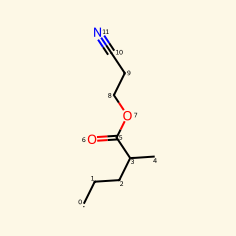 [CH2]CCC(C)C(=O)OCCC#N